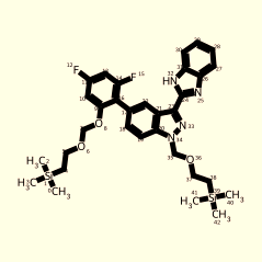 C[Si](C)(C)CCOCOc1cc(F)cc(F)c1-c1ccc2c(c1)c(-c1nc3ccccc3[nH]1)nn2COCC[Si](C)(C)C